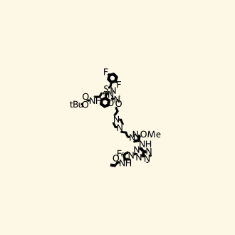 C=CC(=O)N[C@@H]1CN(c2nc(Nc3cn(CCCN4CCN(CCCON(C)C(=O)N5N=C(c6cc(F)ccc6F)S[C@@]5(CCCNC(=O)OC(C)(C)C)c5ccccc5)CC4)nc3OC)c3ncn(C)c3n2)C[C@H]1F